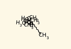 CCCCCCCCC1Cc2c(cc(C(C)(C)C)c(O)c2C(C)(C)C)O1